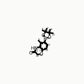 Cc1c(B2OC(C)(C)C(C)(C)O2)ccc2c1NC(=O)CO2